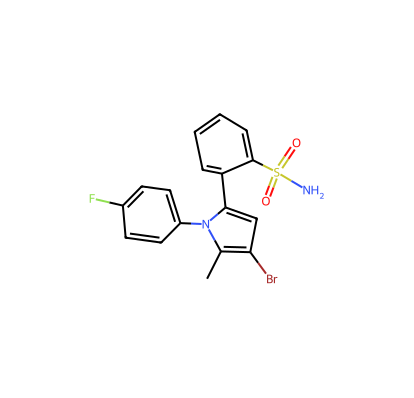 Cc1c(Br)cc(-c2ccccc2S(N)(=O)=O)n1-c1ccc(F)cc1